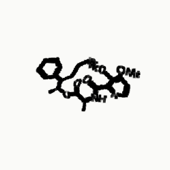 COc1ccnc(C(=O)N[C@@H](C)C(=O)O[C@@H](C)[C@H](CCC(C)C)c2ccccc2)c1OC(C)=O